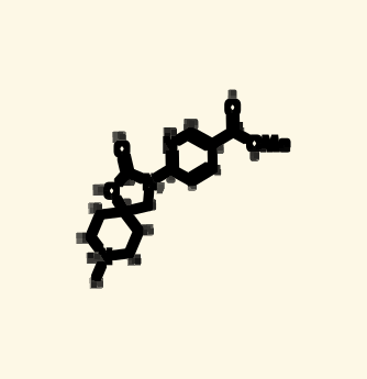 COC(=O)c1ccc(N2CC3(CCN(C)CC3)OC2=O)nc1